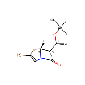 CC[C@H](O[Si](C)(C)C(C)(C)C)[C@@H]1C(=O)N2C=C(S)S[C@H]12